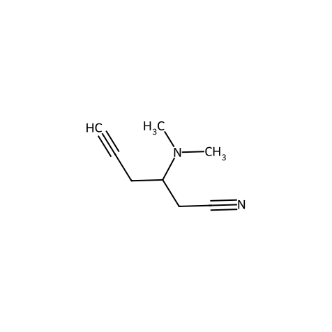 C#CCC(CC#N)N(C)C